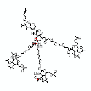 CC(=O)NC1C(OCCOCCOCCNC(=O)CCC(NC(=O)[C@H]2CCC3OP(OCCC#N)N(C(C)C)C(C)C3C2)C(=O)N(CC(=O)NCCOCCOCCOC2OC(COC(C)=O)C(OC(C)=O)C(OC(C)=O)C2NC(C)=O)CC(=O)NCCOCCOCCOC2OC(COC(C)=O)C(OC(C)=O)C(OC(C)=O)C2NC(C)=O)OC(COC(C)=O)C(OC(C)=O)C1OC(C)=O